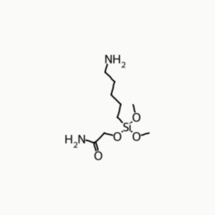 CO[Si](CCCCCN)(OC)OCC(N)=O